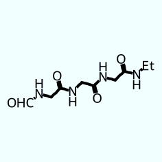 CCNC(=O)CNC(=O)CNC(=O)CNC=O